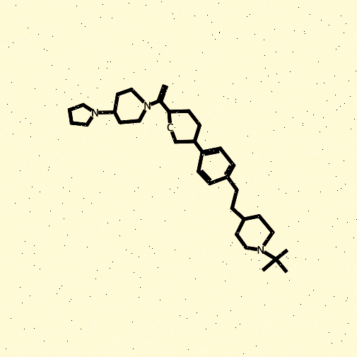 C=C(C1CCC(c2ccc(CCC3CCN(C(C)(C)C)CC3)cc2)CC1)N1CCC(N2CCCC2)CC1